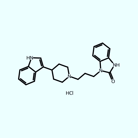 Cl.O=c1[nH]c2ccccc2n1CCCN1CCC(c2c[nH]c3ccccc23)CC1